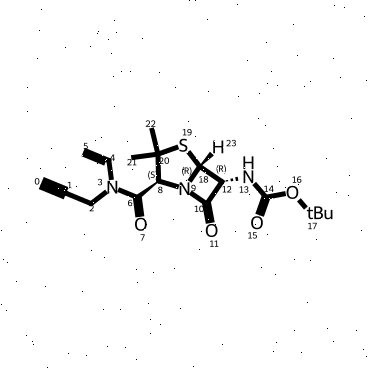 C#CCN(C=C)C(=O)[C@@H]1N2C(=O)[C@@H](NC(=O)OC(C)(C)C)[C@H]2SC1(C)C